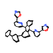 c1ccc(-c2cccc(-c3ccc4c(-c5cccc(-c6cnco6)n5)c5ccccc5c(-c5cccc(-c6cnco6)n5)c4c3)c2)cc1